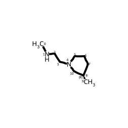 CNCCN1CCC[C@@H](C)C1